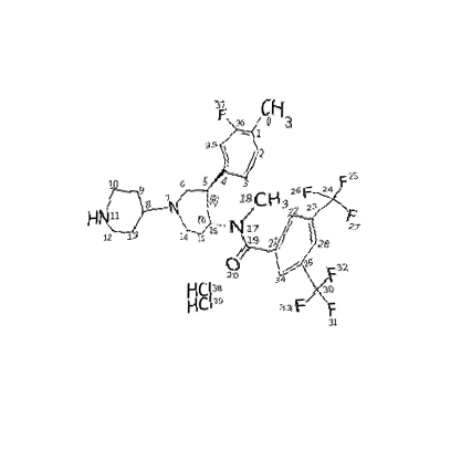 Cc1ccc([C@@H]2CN(C3CCNCC3)CC[C@H]2N(C)C(=O)c2cc(C(F)(F)F)cc(C(F)(F)F)c2)cc1F.Cl.Cl